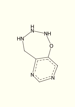 c1ncc2c(n1)CNNNO2